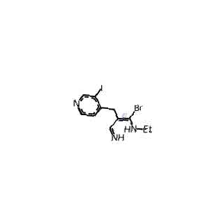 CCN/C(Br)=C(\C=N)Cc1ccncc1I